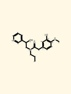 CCCN(CC(O)c1cccnc1)C(=O)Cc1ccc(OC)c(Cl)c1